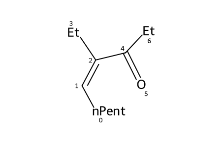 CCCCCC=C(CC)C(=O)CC